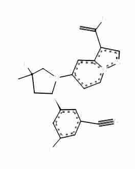 N#Cc1cc(F)cc([C@H]2CC(F)(F)CN2c2ccn3ncc(C(N)=O)c3c2)c1